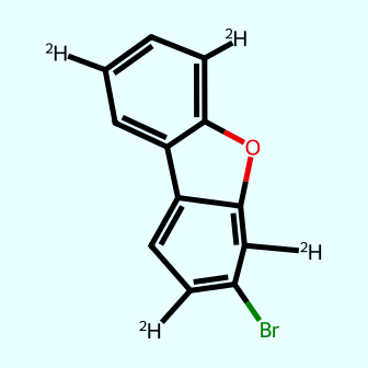 [2H]c1cc([2H])c2oc3c([2H])c(Br)c([2H])cc3c2c1